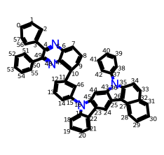 c1ccc(-c2nc3cccc(-c4cccc(-n5c6ccccc6c6cc7c8c9ccccc9ccc8n(-c8ccccc8)c7cc65)c4)c3nc2-c2ccccc2)cc1